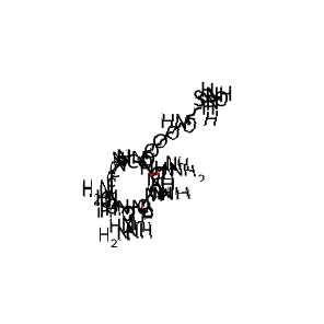 CC(C)C[C@H]1NC(=O)[C@@H](CCCNC(=N)N)NC(=O)[C@@H](Cc2ccccc2)NC(=O)C(Cc2c[nH]cn2)NC(=O)[C@@H](CCCNC(=N)N)NC(=O)[C@@H](NC(=O)COCCOCCOCCNC(=O)CCCC[C@@H]2SC[C@@H]3NC(=O)N[C@@H]32)Cc2cn(nn2)CCCC[C@@H](C(N)=O)NC1=O